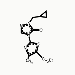 CCOC(=O)c1sc(-n2cnn(CC3CC3)c2=O)nc1C